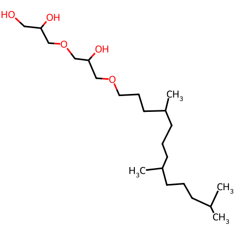 CC(C)CCCC(C)CCCC(C)CCCOCC(O)COCC(O)CO